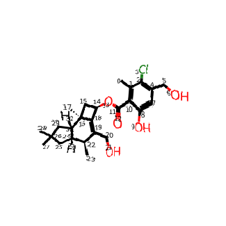 Cc1c(Cl)c(CO)cc(O)c1C(=O)O[C@@H]1C[C@@]2(C)C1=C(CO)[C@@H](C)[C@@H]1CC(C)(C)C[C@@H]12